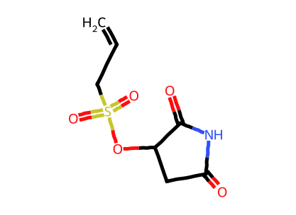 C=CCS(=O)(=O)OC1CC(=O)NC1=O